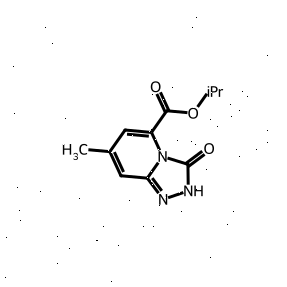 Cc1cc(C(=O)OC(C)C)n2c(=O)[nH]nc2c1